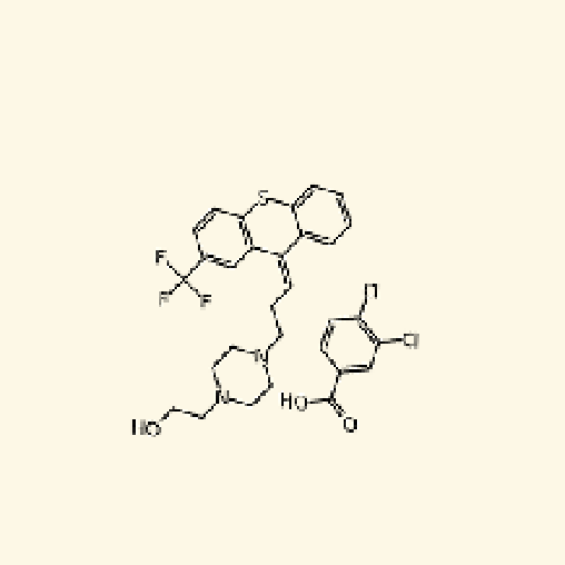 O=C(O)c1ccc(Cl)c(Cl)c1.OCCN1CCN(CCC=C2c3ccccc3Sc3ccc(C(F)(F)F)cc32)CC1